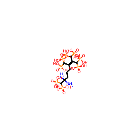 NC(N)(CCCC(=C(C(P(=O)(O)O)P(=O)(O)O)C(P(=O)(O)O)P(=O)(O)O)C(P(=O)(O)O)P(=O)(O)O)C(P(=O)(O)O)P(=O)(O)O